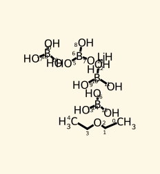 CCOCC.OB(O)O.OB(O)O.OB(O)O.OB(O)O.[LiH]